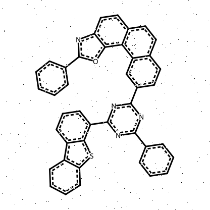 c1ccc(-c2nc(-c3ccc4ccc5ccc6nc(-c7ccccc7)oc6c5c4c3)nc(-c3cccc4c3sc3ccccc34)n2)cc1